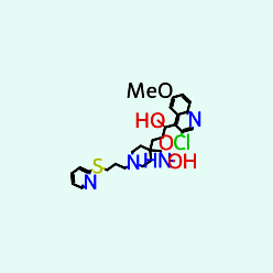 COc1ccc2ncc(Cl)c([C@H](O)CCC3(C(=O)NO)CCN(CCCSc4ccccn4)CC3)c2c1